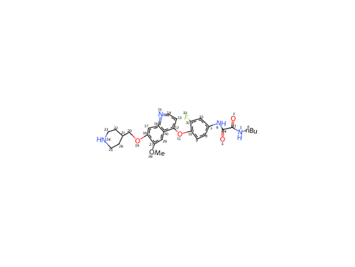 CCCCNC(=O)C(=O)Nc1ccc(Oc2ccnc3cc(OCC4CCNCC4)c(OC)cc23)c(F)c1